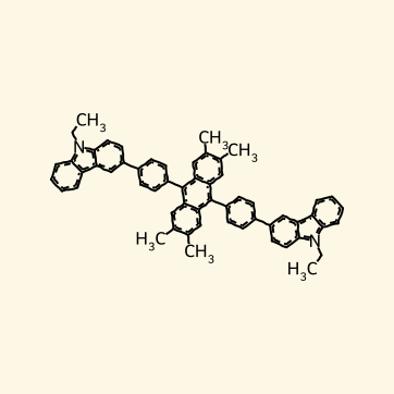 CCn1c2ccccc2c2cc(-c3ccc(-c4c5cc(C)c(C)cc5c(-c5ccc(-c6ccc7c(c6)c6ccccc6n7CC)cc5)c5cc(C)c(C)cc45)cc3)ccc21